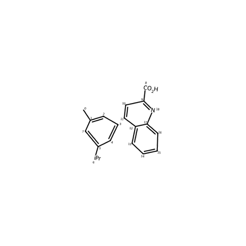 Cc1cccc(C(C)C)c1.O=C(O)c1ccc2ccccc2n1